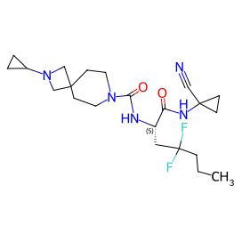 CCCC(F)(F)C[C@H](NC(=O)N1CCC2(CC1)CN(C1CC1)C2)C(=O)NC1(C#N)CC1